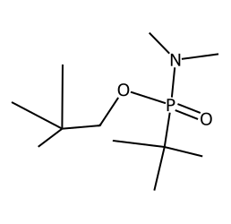 CN(C)P(=O)(OCC(C)(C)C)C(C)(C)C